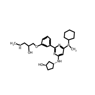 CNCC(O)COc1cccc(-c2nc(N[C@@H]3CC[C@@H](O)C3)cc(N(C)C3CCCCC3)n2)c1